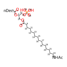 CCCCCCCCCCC(=O)O[C@H](COC(=O)CCCCCCCCCCCCCCCNC(C)=O)COP(=O)(O)O